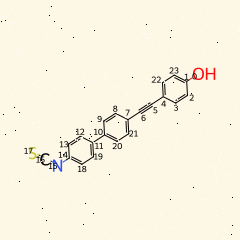 Oc1ccc(C#Cc2ccc(-c3ccc(N=C=S)cc3)cc2)cc1